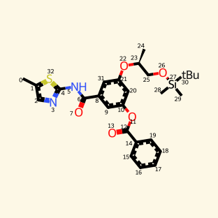 Cc1cnc(NC(=O)c2cc(OC(=O)c3ccccc3)cc(O[C@@H](C)CO[Si](C)(C)C(C)(C)C)c2)s1